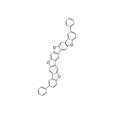 c1ccc(-c2ccc3oc4cc5c(cc4c3c2)oc2cc3oc4cc6c(cc4c3cc25)oc2ccc(-c3ccccc3)cc26)cc1